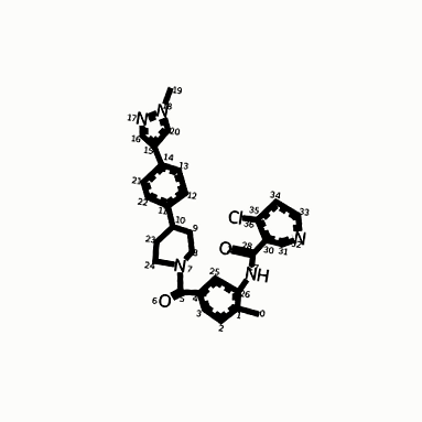 Cc1ccc(C(=O)N2CCC(c3ccc(-c4cnn(C)c4)cc3)CC2)cc1NC(=O)c1cnccc1Cl